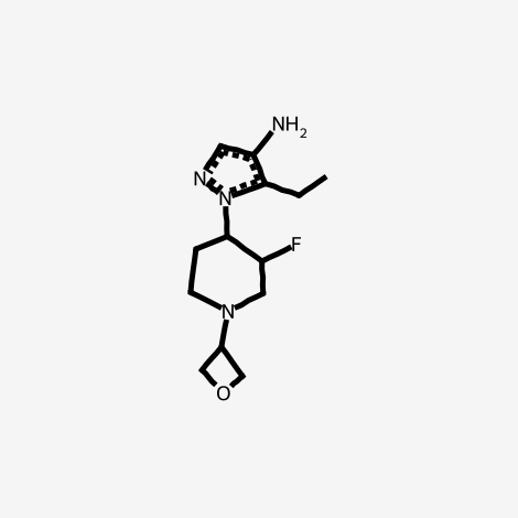 CCc1c(N)cnn1C1CCN(C2COC2)CC1F